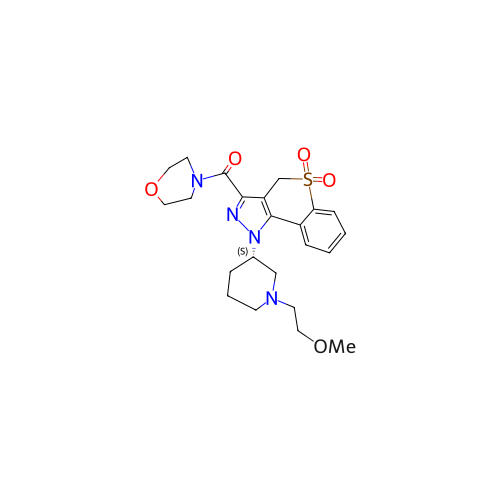 COCCN1CCC[C@H](n2nc(C(=O)N3CCOCC3)c3c2-c2ccccc2S(=O)(=O)C3)C1